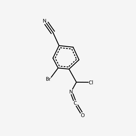 N#Cc1ccc(C(Cl)N=C=O)c(Br)c1